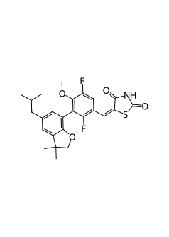 COc1c(F)cc(C=C2SC(=O)NC2=O)c(F)c1-c1cc(CC(C)C)cc2c1OCC2(C)C